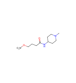 CN1CCC(NC(=O)CCCO[N+](=O)[O-])CC1